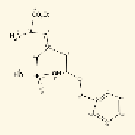 CCOC(=O)C(N)C=C(CCOCc1ccccc1)CP(=O)(O)O